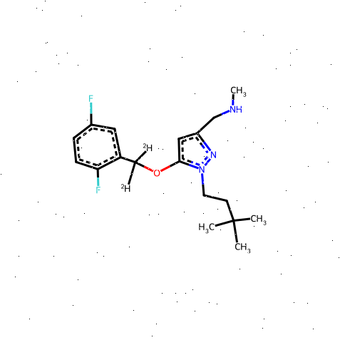 [2H]C([2H])(Oc1cc(CNC)nn1CCC(C)(C)C)c1cc(F)ccc1F